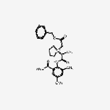 COC(=O)c1cc(OC)cc(C)c1NC(=O)C(C)[N+]1(CC(=O)OCc2ccccc2)CCCC1